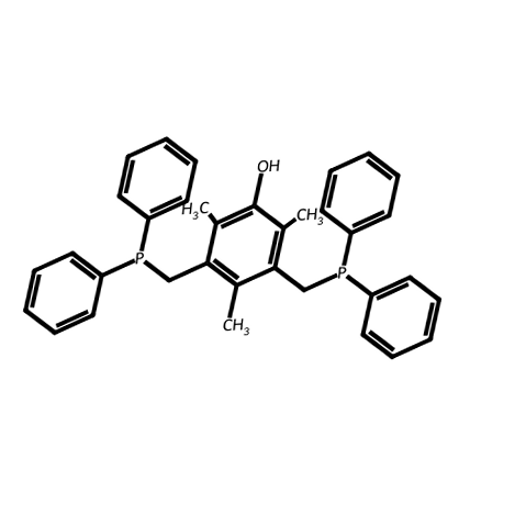 Cc1c(O)c(C)c(CP(c2ccccc2)c2ccccc2)c(C)c1CP(c1ccccc1)c1ccccc1